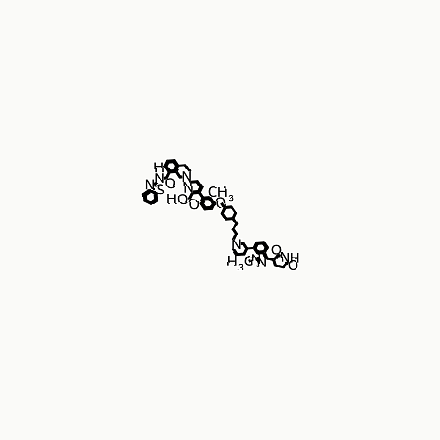 Cc1c(OC2CCC(CCCCN3CCCC(c4cccc5c(C6CCC(=O)NC6=O)nn(C)c45)C3)CC2)cccc1-c1ccc(N2CCc3cccc(C(=O)Nc4nc5ccccc5s4)c3C2)nc1C(=O)O